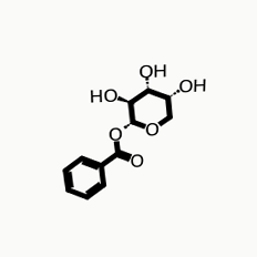 O=C(O[C@H]1OC[C@@H](O)[C@@H](O)[C@@H]1O)c1ccccc1